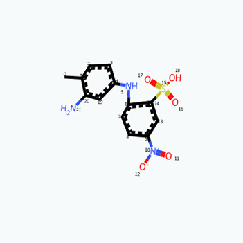 Cc1ccc(Nc2ccc([N+](=O)[O-])cc2S(=O)(=O)O)cc1N